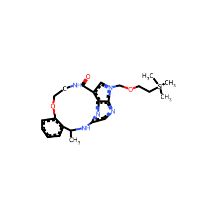 CC1Nc2cnc3c(n2)c(cn3COCC[Si](C)(C)C)C(=O)NCCOc2ccccc21